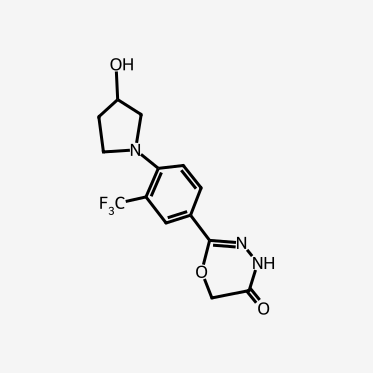 O=C1COC(c2ccc(N3CCC(O)C3)c(C(F)(F)F)c2)=NN1